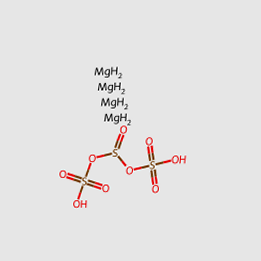 O=S(OS(=O)(=O)O)OS(=O)(=O)O.[MgH2].[MgH2].[MgH2].[MgH2]